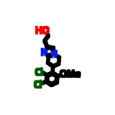 COc1ccc(Cl)c(Cl)c1C1CCn2cc(CCO)nc2C1